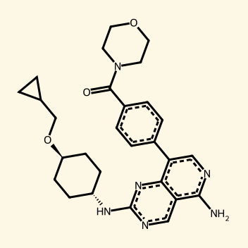 Nc1ncc(-c2ccc(C(=O)N3CCOCC3)cc2)c2nc(N[C@H]3CC[C@H](OCC4CC4)CC3)ncc12